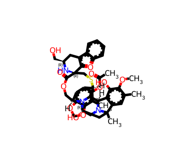 COc1c(C)cc2c(c1O)[C@@H]1C3[C@@H]4SC[C@]5(N[C@@H](CO)Cc6c5oc5ccccc65)C(=O)OC[C@@H](c5c6c(c(C)c(OC(C)=O)c54)OCO6)N3[C@]3(O)CN1C2(C)C3